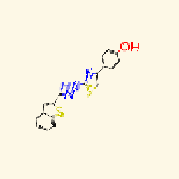 Oc1ccc(-c2csc(NN=Cc3cc4ccccc4s3)n2)cc1